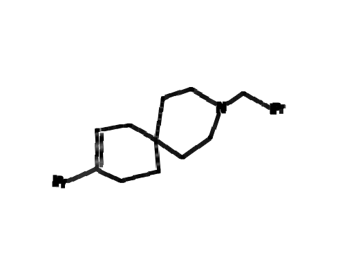 CC(C)CN1CCC2(CC=C(C(C)C)CC2)CC1